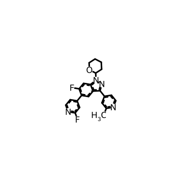 Cc1cc(-c2nn(C3CCCCO3)c3cc(F)c(-c4ccnc(F)c4)cc23)ccn1